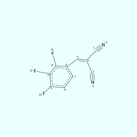 N#CC(C#N)=Cc1ccc(F)c(F)c1F